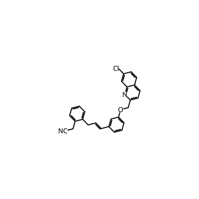 N#CCc1ccccc1CC=Cc1cccc(OCc2ccc3ccc(Cl)cc3n2)c1